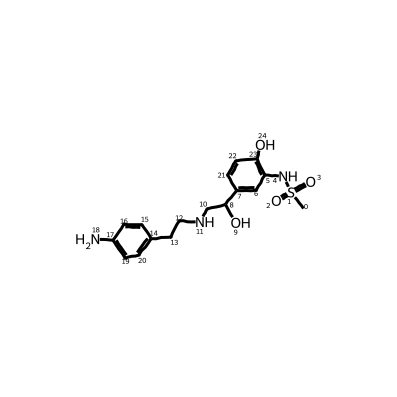 CS(=O)(=O)Nc1cc(C(O)CNCCc2ccc(N)cc2)ccc1O